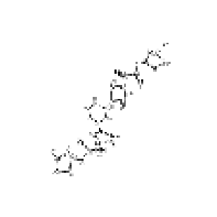 Cc1nc(CC(=O)Nc2nnc([C@H]3CCC[C@H](c4nnc(NC(=O)Cc5csc(C)n5)s4)C3)s2)cs1